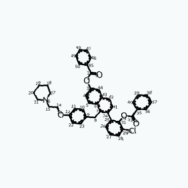 O=C(Oc1ccc2c(Cc3ccc(OCCN4CCCCC4)cc3)c(-c3cccc(Cl)c3OC(=O)c3ccccc3)ccc2c1)c1ccccc1